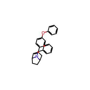 C1=C(c2ccc(Oc3ccccc3)cc2)CC2CCC1N2Cc1ccccc1